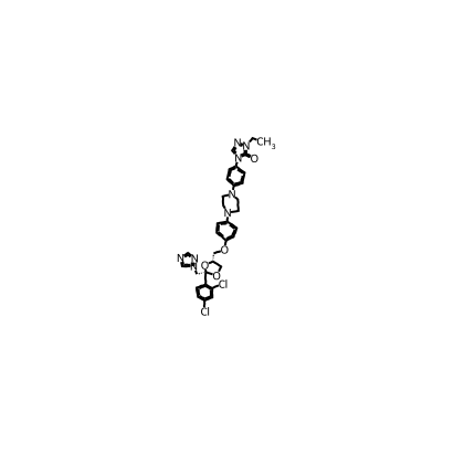 CCn1ncn(-c2ccc(N3CCN(c4ccc(OC[C@@H]5CO[C@@](Cn6cncn6)(c6ccc(Cl)cc6Cl)O5)cc4)CC3)cc2)c1=O